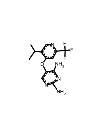 CC(C)c1cnc(C(F)(F)F)cc1Oc1cnc(N)nc1N